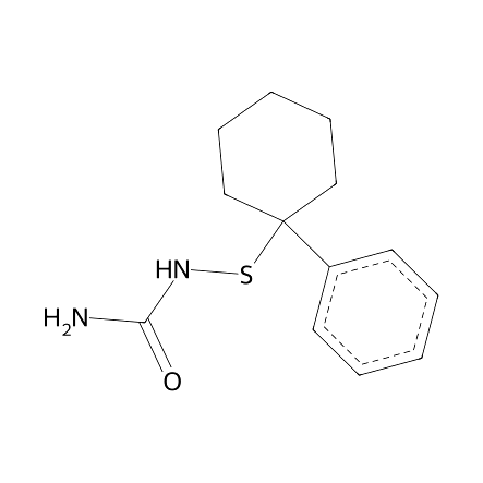 NC(=O)NSC1(c2ccccc2)CCCCC1